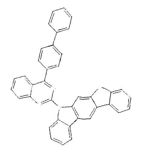 c1ccc(-c2ccc(-c3nc(-n4c5ccccc5c5cc6c(cc54)sc4ccccc46)nc4ccccc34)cc2)cc1